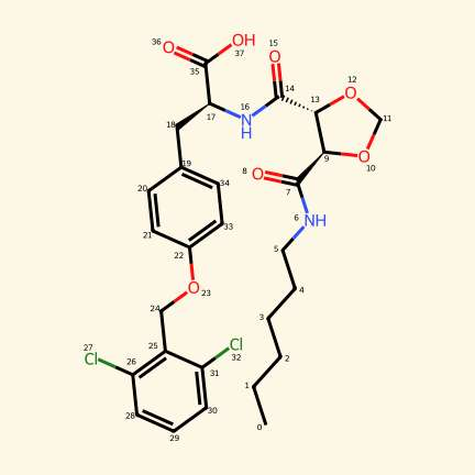 CCCCCCNC(=O)[C@@H]1OCO[C@H]1C(=O)N[C@@H](Cc1ccc(OCc2c(Cl)cccc2Cl)cc1)C(=O)O